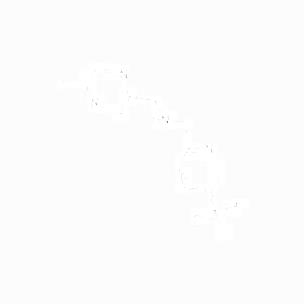 Cc1cnc(CNCc2ccc(C(F)(F)F)cn2)cn1